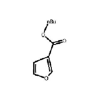 CCCCOC(=O)c1ccoc1